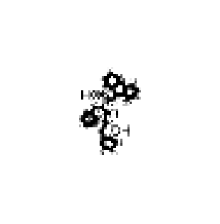 O=C(N[C@H](CO)Cc1ccccc1)[C@H](Cc1ccccc1)N(CC1c2ccccc2-c2ccccc21)C(=O)O